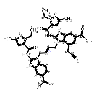 CCn1nc(C)cc1C(=O)Nc1nc2cc(C(N)=O)ccc2n1C/C=C/Cn1c(NC(=O)c2cc(C)nn2CC)nc2cc(C(N)=O)cc(CC#N)c21